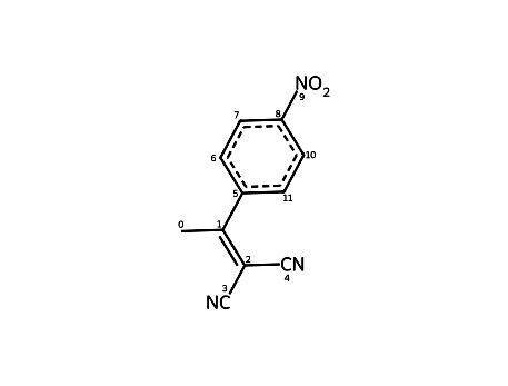 CC(=C(C#N)C#N)c1ccc([N+](=O)[O-])cc1